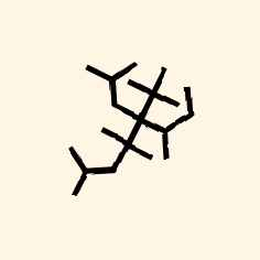 CCC(C)C(CC(C)C)(C(C)(C)C)C(C)(C)CC(C)C